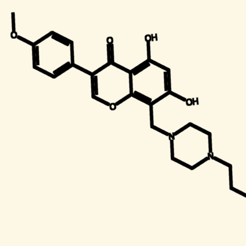 COc1ccc(-c2coc3c(CN4CCN(CCO)CC4)c(O)cc(O)c3c2=O)cc1